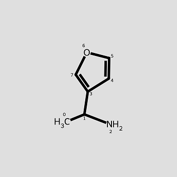 CC(N)c1ccoc1